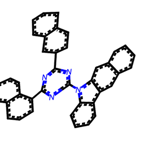 c1ccc2cc(-c3nc(-c4cccc5ccccc45)nc(-n4c5ccccc5c5cc6ccccc6cc54)n3)ccc2c1